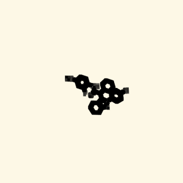 N#Cc1ccc(NC(=O)C(c2c3c(nn2-c2ccc(Cl)cc2)CCCC3)C2CCCCC2)c(F)c1